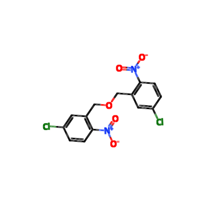 O=[N+]([O-])c1ccc(Cl)cc1COCc1cc(Cl)ccc1[N+](=O)[O-]